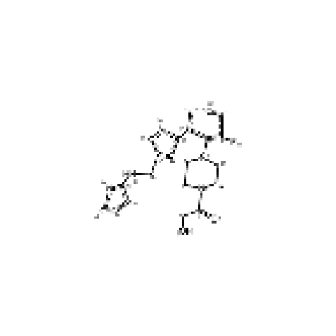 O=C(CO)N1CCN(c2c(F)cccc2-c2cc(CNc3ccon3)on2)CC1